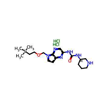 C[Si](C)(C)CCOCn1ccc2nc(NC(=O)N[C@@H]3CCCNC3)cnc21.Cl.Cl